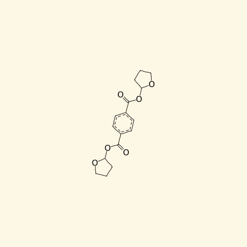 O=C(OC1CCCO1)c1ccc(C(=O)OC2CCCO2)cc1